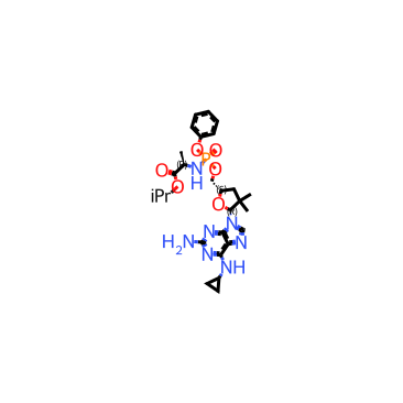 CC(C)OC(=O)[C@@H](C)NP(=O)(OC[C@@H]1CC(C)(C)[C@H](n2cnc3c(NC4CC4)nc(N)nc32)O1)Oc1ccccc1